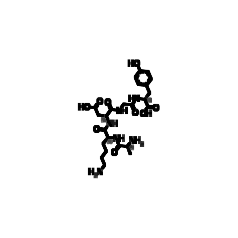 C[C@H](N)C(=O)N[C@@H](CCCCN)C(=O)N[C@@H](CC(=O)O)C(=O)NCC(=O)N[C@@H](Cc1ccc(O)cc1)C(=O)O